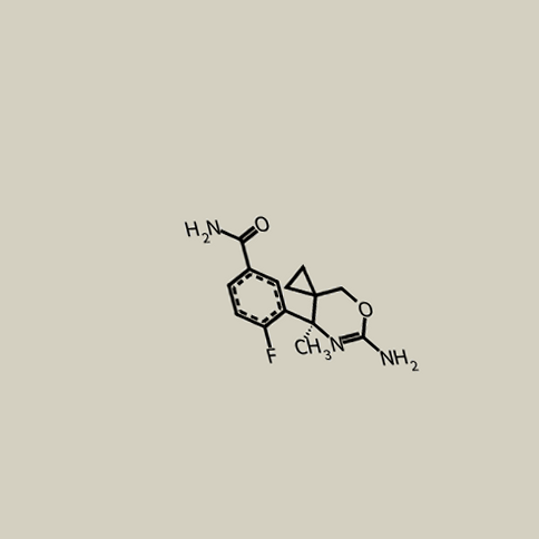 C[C@@]1(c2cc(C(N)=O)ccc2F)N=C(N)OCC12CC2